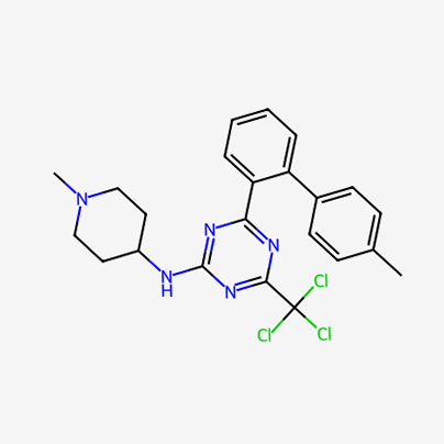 Cc1ccc(-c2ccccc2-c2nc(NC3CCN(C)CC3)nc(C(Cl)(Cl)Cl)n2)cc1